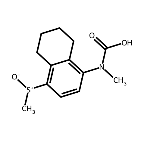 CN(C(=O)O)c1ccc([S+](C)[O-])c2c1CCCC2